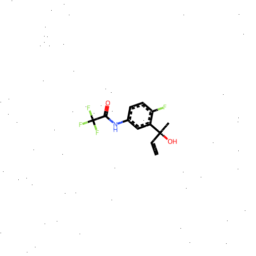 C=CC(C)(O)c1cc(NC(=O)C(F)(F)F)ccc1F